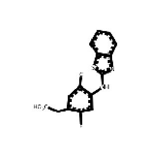 O=C(O)Cc1cc(Cl)c(Nc2nc3ccccc3s2)cc1F